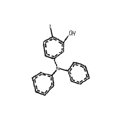 Oc1cc(N(c2ccccc2)c2ccccc2)ccc1I